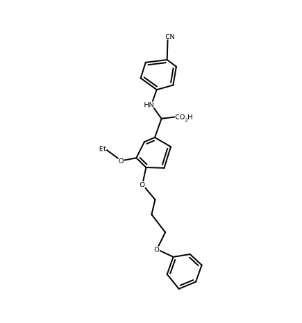 CCOc1cc(C(Nc2ccc(C#N)cc2)C(=O)O)ccc1OCCCOc1ccccc1